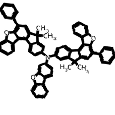 CC1(C)c2cc(N(c3ccc4c(c3)C(C)(C)c3cc(-c5ccccc5)c5oc6ccccc6c5c3-4)c3ccc4c(c3)oc3ccccc34)ccc2-c2c1cc(-c1ccccc1)c1oc3ccccc3c21